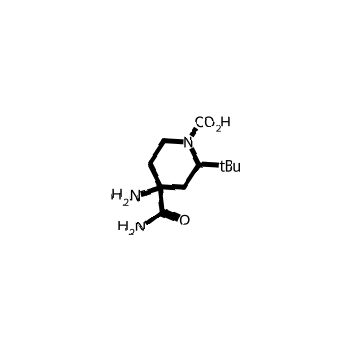 CC(C)(C)C1CC(N)(C(N)=O)CCN1C(=O)O